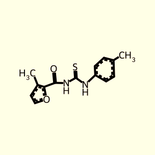 Cc1ccc(NC(=S)NC(=O)c2occc2C)cc1